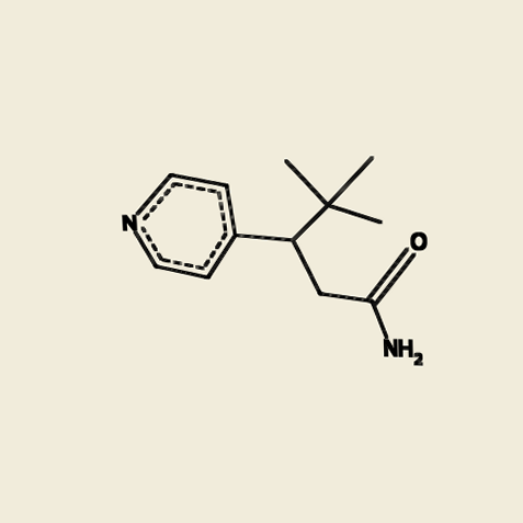 CC(C)(C)C(CC(N)=O)c1ccncc1